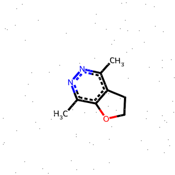 Cc1nnc(C)c2c1CCO2